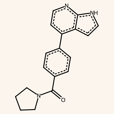 O=C(c1ccc(-c2ccnc3[nH]ccc23)cc1)N1CCCC1